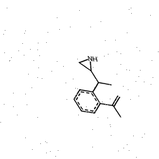 C=C(C)c1ccccc1C(C)C1CN1